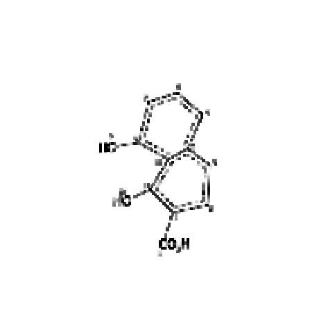 O=C(O)c1ccc2cccc(O)c2c1O